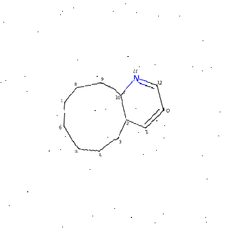 C1=CC2CCCCCCCC2N=C1